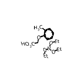 CCON(OCC)OCC.Cc1ccccc1OCC(=O)O